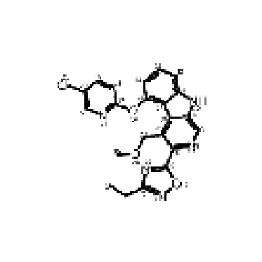 CCc1noc(-c2ncc3[nH]c4cccc(Oc5ccc(Cl)cn5)c4c3c2COC)n1